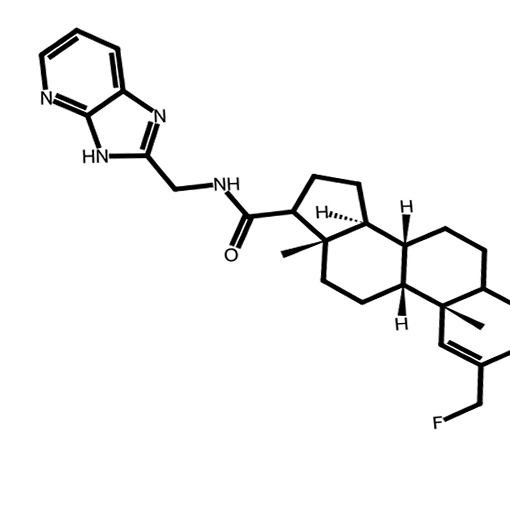 C[C@]12C=C(CF)C(=O)NC1CC[C@@H]1[C@H]2CC[C@]2(C)C(C(=O)NCc3nc4cccnc4[nH]3)CC[C@@H]12